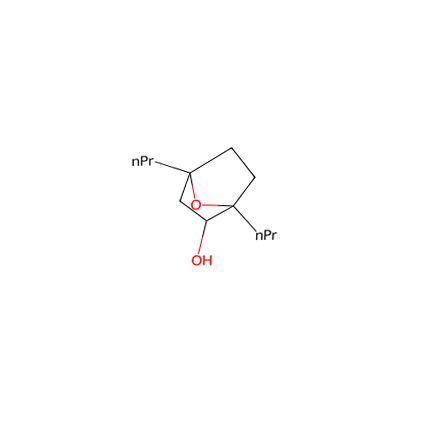 CCCC12CCC(CCC)(O1)C(O)C2